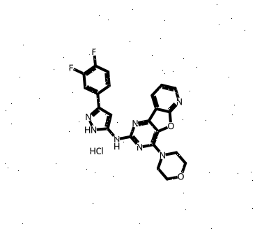 Cl.Fc1ccc(-c2cc(Nc3nc(N4CCOCC4)c4oc5ncccc5c4n3)[nH]n2)cc1F